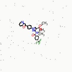 CCOC(=O)c1cn(-c2ccc(-c3cc4ncccc4o3)cc2)nc1N(C(=O)[C@H]1CC[C@H](C(F)(F)F)CC1)C(C)C